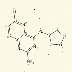 Nc1nc(OC2CCOC2)c2nc(Cl)ccc2n1